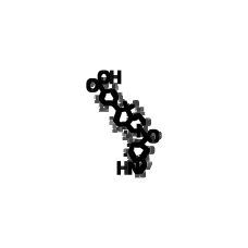 CC1(C)C(c2ccc(C(=O)O)cc2)=CC[C@]2(C)CN(C(=O)c3ccc4[nH]ccc4c3)CC=C12